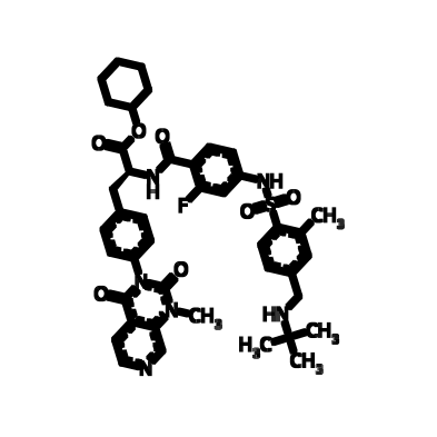 Cc1cc(CNC(C)(C)C)ccc1S(=O)(=O)Nc1ccc(C(=O)N[C@@H](Cc2ccc(-n3c(=O)c4ccncc4n(C)c3=O)cc2)C(=O)OC2CCCCC2)c(F)c1